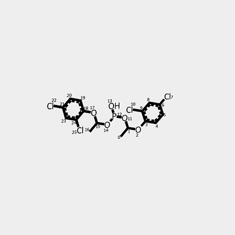 CC(Oc1ccc(Cl)cc1Cl)OP(O)OC(C)Oc1ccc(Cl)cc1Cl